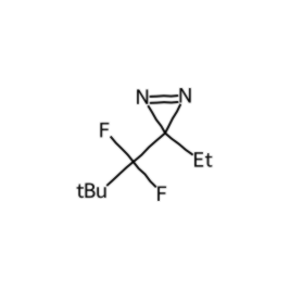 CCC1(C(F)(F)C(C)(C)C)N=N1